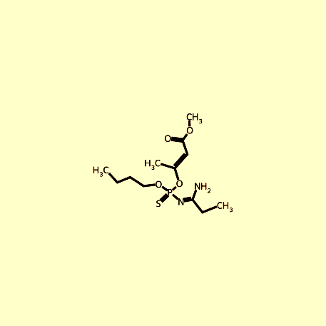 CCCCOP(=S)(N=C(N)CC)OC(C)=CC(=O)OC